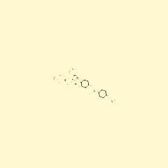 O=C(Oc1ccc(S(=O)(=O)C2(C(=O)NO)CCC3(CCNCC3)C2)cc1Cl)c1ccc(OC(F)(F)F)cc1